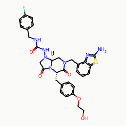 Nc1nc2c(CN3C[C@@H]4N(NC(=O)NCc5ccc(F)cc5)CC(=O)N4[C@@H](Cc4ccc(OCCO)cc4)C3=O)cccc2s1